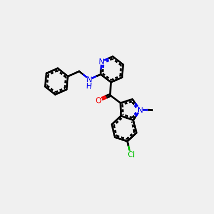 Cn1cc(C(=O)c2cccnc2NCc2ccccc2)c2ccc(Cl)cc21